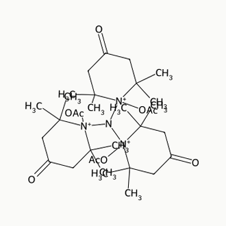 CC(=O)O[N+]1(N([N+]2(OC(C)=O)C(C)(C)CC(=O)CC2(C)C)[N+]2(OC(C)=O)C(C)(C)CC(=O)CC2(C)C)C(C)(C)CC(=O)CC1(C)C